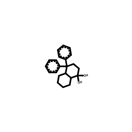 OC1(O)CCC(c2ccccc2)(c2ccccc2)C2CCCCC21